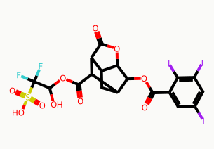 O=C(OC1C2CC3C1OC(=O)C3C2C(=O)OC(O)C(F)(F)S(=O)(=O)O)c1cc(I)cc(I)c1I